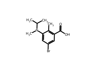 Cc1c(C(=O)O)cc(Br)cc1N(C)C(C)C